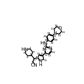 N#CCC(C1CCNCC1)N1C=C(c2ccnc(Nc3ccc(N4CCOCC4)cc3)n2)CN1